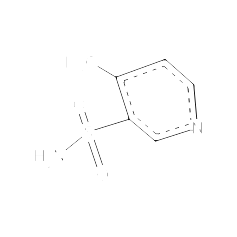 Cc1ccncc1S(N)(=O)=O